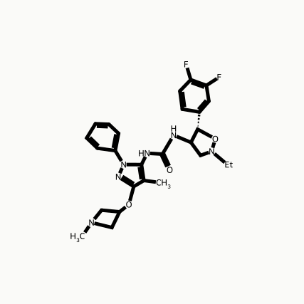 CCN1CC(NC(=O)Nc2c(C)c(OC3CN(C)C3)nn2-c2ccccc2)[C@H](c2ccc(F)c(F)c2)O1